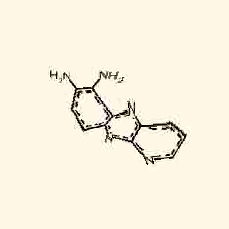 Nc1ccc2nc3ncccc3nc2c1N